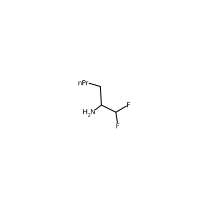 CCCCC(N)C(F)F